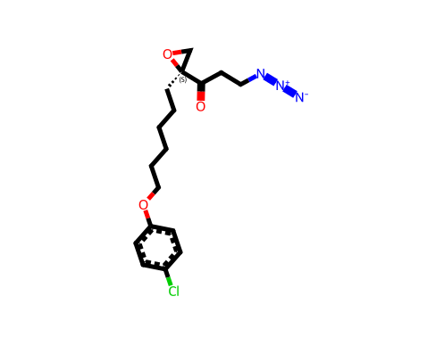 [N-]=[N+]=NCCC(=O)[C@]1(CCCCCCOc2ccc(Cl)cc2)CO1